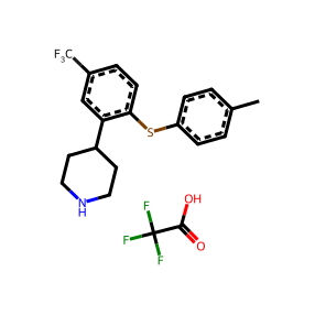 Cc1ccc(Sc2ccc(C(F)(F)F)cc2C2CCNCC2)cc1.O=C(O)C(F)(F)F